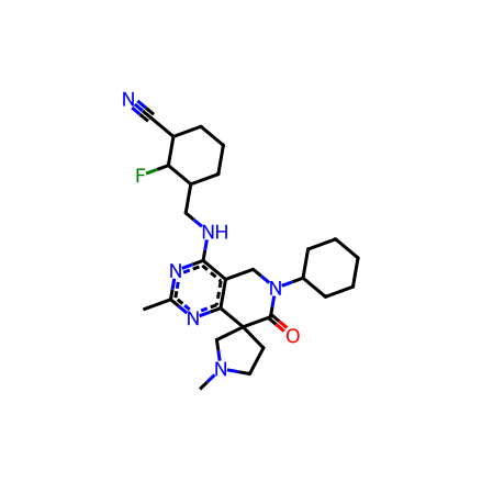 Cc1nc(NCC2CCCC(C#N)C2F)c2c(n1)C1(CCN(C)C1)C(=O)N(C1CCCCC1)C2